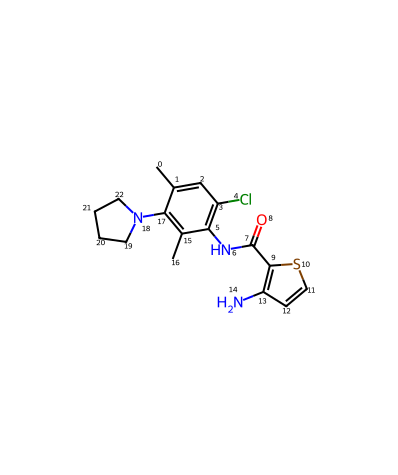 Cc1cc(Cl)c(NC(=O)c2sccc2N)c(C)c1N1CCCC1